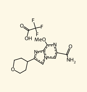 COc1nc(C(N)=O)cn2cc(C3CCOCC3)nc12.O=C(O)C(F)(F)F